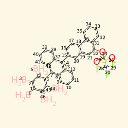 Bc1c(B)c(B)c(-c2c3ccccc3c(-c3ccc4c(c3)cc(OS(=O)(=O)C(F)(F)F)c3ccccc34)c3ccccc23)c(B)c1B